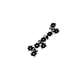 c1ccc(-n2c(-c3ccc(-n4c5ccccc5n5c6ccccc6nc45)cc3)nc3cc4oc(-c5ccc(-n6c7ccccc7n7c8ccccc8nc67)cc5)nc4cc32)cc1